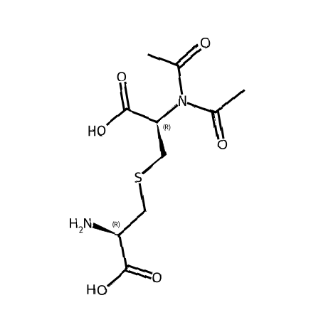 CC(=O)N(C(C)=O)[C@@H](CSC[C@H](N)C(=O)O)C(=O)O